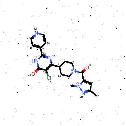 Cc1cc(C(=O)N2CCC(c3nc(-c4ccncc4)[nH]c(=O)c3Cl)CC2)n(C)n1